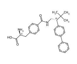 CC(C)(C)[C@@H](CNC(=O)c1ccc(C[C@H](N)C(=O)O)cc1)c1ccc(-c2ccccc2)cc1